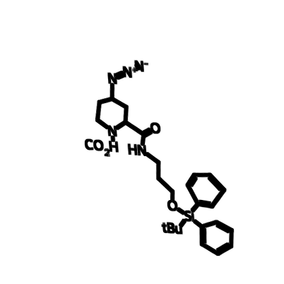 CC(C)(C)[Si](OCCCNC(=O)C1CC(N=[N+]=[N-])CCN1C(=O)O)(c1ccccc1)c1ccccc1